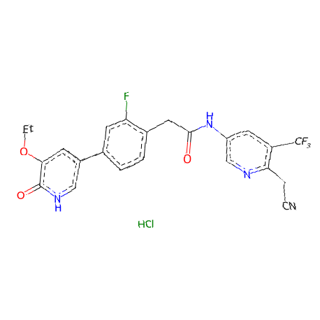 CCOc1cc(-c2ccc(CC(=O)Nc3cnc(CC#N)c(C(F)(F)F)c3)c(F)c2)c[nH]c1=O.Cl